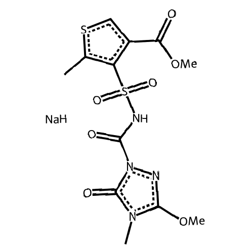 COC(=O)c1csc(C)c1S(=O)(=O)NC(=O)n1nc(OC)n(C)c1=O.[NaH]